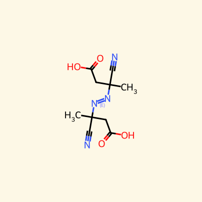 CC(C#N)(CC(=O)O)/N=N/C(C)(C#N)CC(=O)O